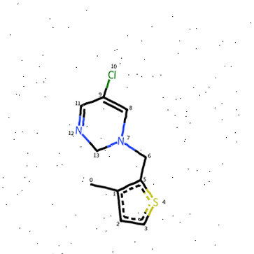 Cc1ccsc1CN1C=C(Cl)C=NC1